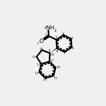 NC(=O)c1ccccc1[C@H]1CCc2ccccc21